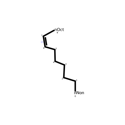 [CH2]CCCCCCCCCCCCC/C=C\CCCCCCCC